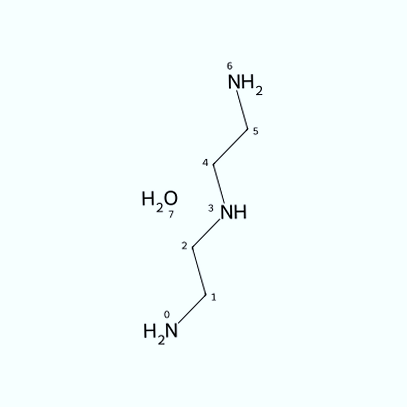 NCCNCCN.O